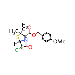 COc1ccc(COC(=O)[C@@H]2N3C(=O)[C@@H](Cl)[C@H]3SC2(C)C)cc1